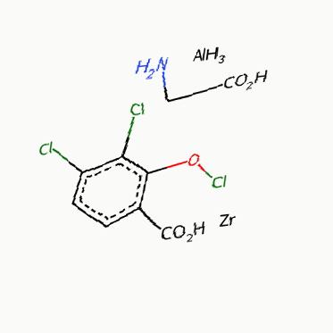 NCC(=O)O.O=C(O)c1ccc(Cl)c(Cl)c1OCl.[AlH3].[Zr]